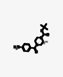 C[C@@H]1CN(C(=O)c2ccc(N)cc2)CCN1C(=O)OC(C)(C)C